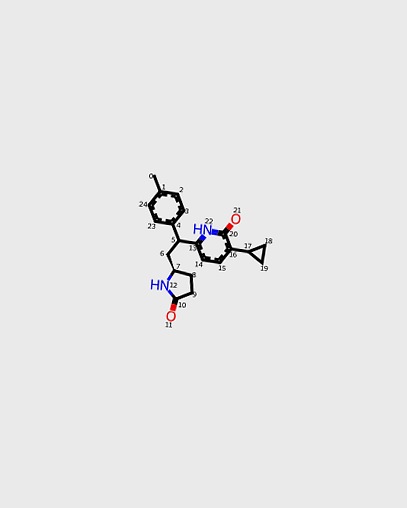 Cc1ccc(C(C[C@H]2CCC(=O)N2)c2ccc(C3CC3)c(=O)[nH]2)cc1